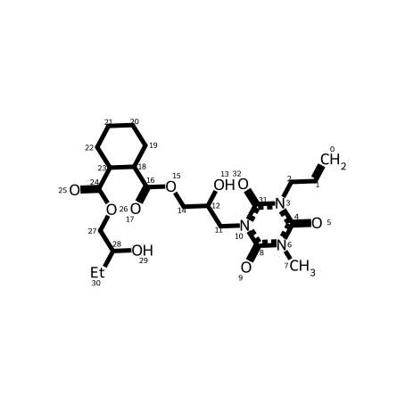 C=CCn1c(=O)n(C)c(=O)n(CC(O)COC(=O)C2CCCCC2C(=O)OCC(O)CC)c1=O